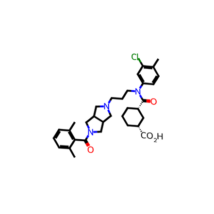 Cc1ccc(N(CCCN2CC3CN(C(=O)c4c(C)cccc4C)CC3C2)C(=O)[C@H]2CCC[C@@H](C(=O)O)C2)cc1Cl